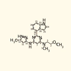 COCCN(C)c1cc(Nc2cc(C)[nH]n2)nc(-c2cccc3[nH]ccc23)n1